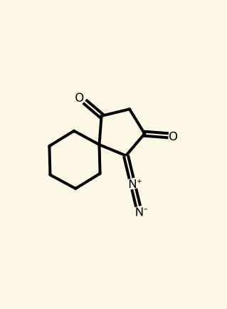 [N-]=[N+]=C1C(=O)CC(=O)C12CCCCC2